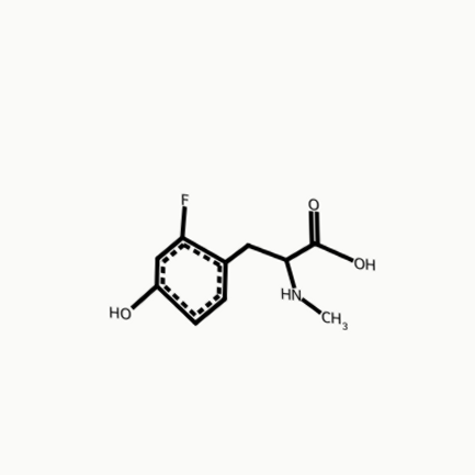 CNC(Cc1ccc(O)cc1F)C(=O)O